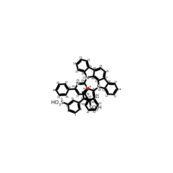 O=S(=O)(O)c1cccc(-c2ccc(-n3c4ccccc4c4ccc5c6ccccc6n(-c6nc(-c7ccccc7)cc(-c7ccccc7)n6)c5c43)cc2S(=O)(=O)O)c1